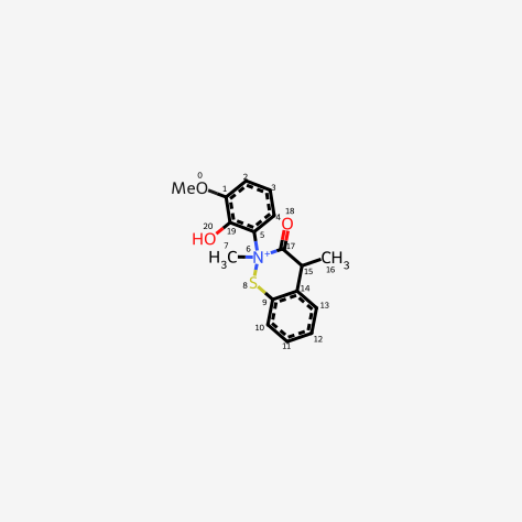 COc1cccc([N+]2(C)Sc3ccccc3C(C)C2=O)c1O